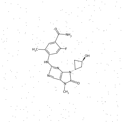 Cc1cc(C(N)=O)c(F)cc1Nc1ncc2c(n1)n([C@H]1C[C@H](O)C1)c(=O)n2C